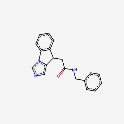 O=C(CC1c2ccccc2-n2cncc21)NCc1ccccc1